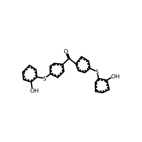 O=C(c1ccc(Sc2ccccc2O)cc1)c1ccc(Sc2ccccc2O)cc1